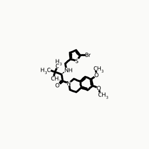 COc1cc2c(cc1OC)CN(C(=O)[C@@H](NCc1ccc(Br)s1)C(C)(C)C)CC2